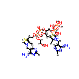 Cc1ncc(C[n+]2csc(CCOP(=O)(OCCO)OP(=O)(OCCOP(=O)(O)OP(=O)(O)O)OCCc3sc[n+](Cc4cnc(C)nc4N)c3C)c2C)c(N)n1